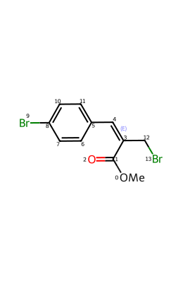 COC(=O)/C(=C\c1ccc(Br)cc1)CBr